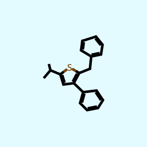 CC(C)c1cc(-c2ccccc2)c(Cc2ccccc2)s1